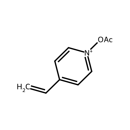 C=Cc1cc[n+](OC(C)=O)cc1